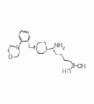 NC(CCCCB(O)O)C1CCN(Cc2ccccc2N2CCOCC2)CC1